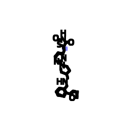 O=C1NC(=O)/C(=C/c2ccnc(N3CCC(CNCc4ccccc4-c4ccco4)CC3)n2)S1